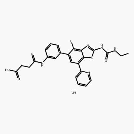 CCNC(=O)Nc1nc2c(F)c(-c3cccc(NC(=O)CCC(=O)O)c3)cc(-c3ccccn3)c2s1.[LiH]